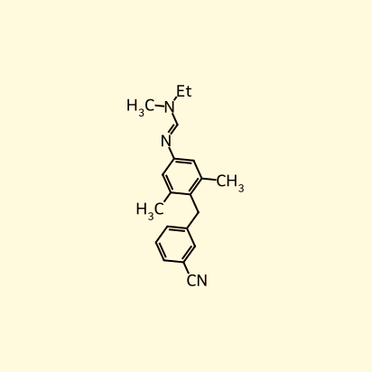 CCN(C)C=Nc1cc(C)c(Cc2cccc(C#N)c2)c(C)c1